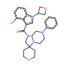 O=C(NCC1(N2CCN(c3ccccc3)CC2)CCOCC1)c1cn(C2COC2)c2cccc(Cl)c12